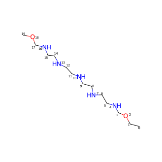 CCOCNCCNCCNCCNCCNCOC